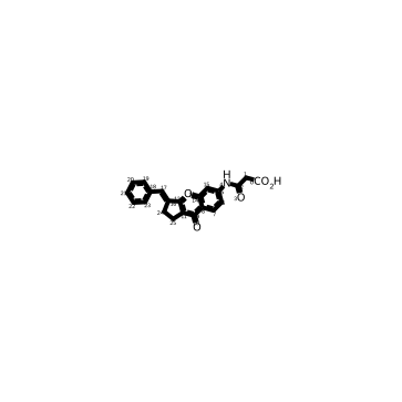 O=C(O)CC(=O)Nc1ccc2c(=O)c3c(oc2c1)C(=Cc1ccccc1)CC3